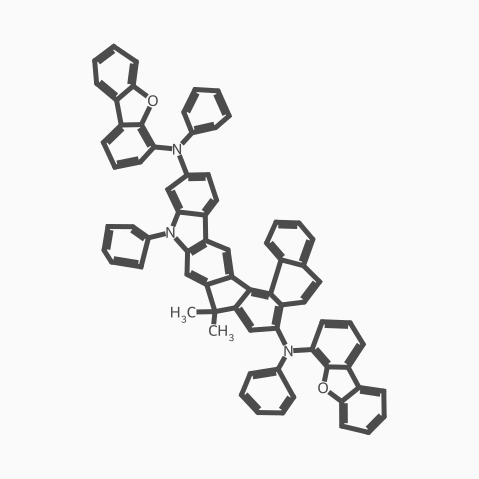 CC1(C)c2cc3c(cc2-c2c1cc(N(c1ccccc1)c1cccc4c1oc1ccccc14)c1ccc4ccccc4c21)c1ccc(N(c2ccccc2)c2cccc4c2oc2ccccc24)cc1n3-c1ccccc1